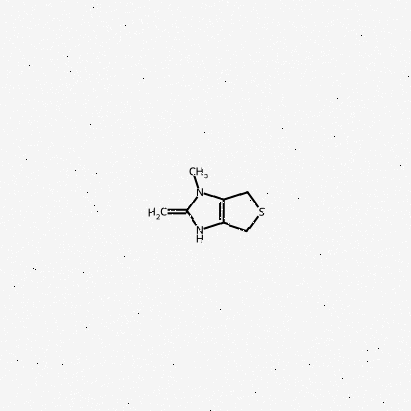 C=C1NC2=C(CSC2)N1C